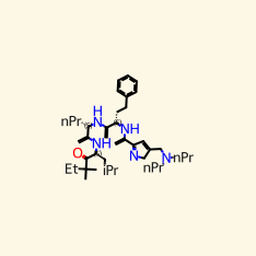 C=C(N[C@@H](CCc1ccccc1)C(=C)N[C@@H](CCC)C(=C)N[C@@H](CC(C)C)C(=O)C(C)(C)CC)C1=NCC(CN(CCC)CCC)=C1